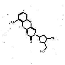 O=c1nc2c(cn1C1CC(O)C(CO)O1)Oc1cccc([N+](=O)[O-])c1N2